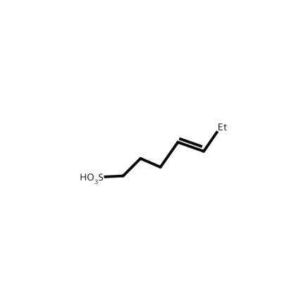 CCC=CCCCS(=O)(=O)O